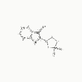 O=c1c2ccccc2[se]n1C1CCS(=O)(=O)C1